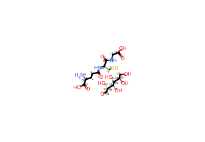 N[C@@H](CCC(=O)N[C@@H](CS)C(=O)NCC(=O)O)C(=O)O.O=C[C@H](O)[C@@H](O)[C@H](O)[C@H](O)CO